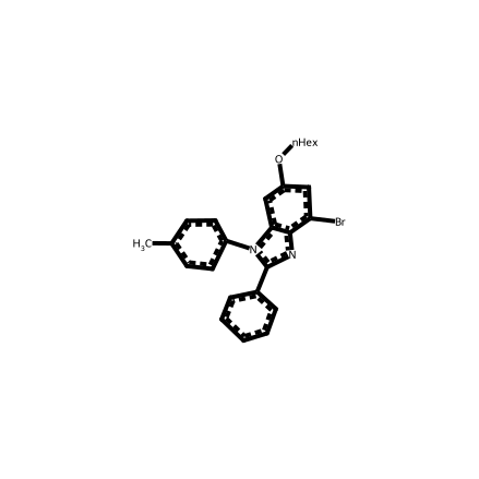 CCCCCCOc1cc(Br)c2nc(-c3ccccc3)n(-c3ccc(C)cc3)c2c1